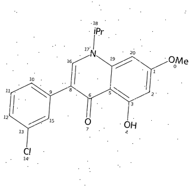 COc1cc(O)c2c(=O)c(-c3cccc(Cl)c3)cn(C(C)C)c2c1